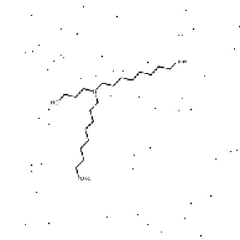 CCCCCCCCCCCCCCCCCCN(CCCO)CCCCCCCCCCCCCCCCCC